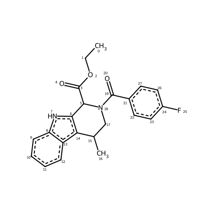 CCOC(=O)C1c2[nH]c3ccccc3c2C(C)CN1C(=O)c1ccc(F)cc1